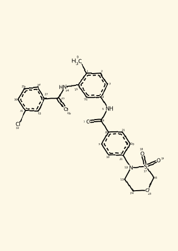 Cc1ccc(NC(=O)c2ccc(N3CCOCS3(=O)=O)cc2)cc1NC(=O)c1cccc(Cl)c1